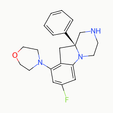 Fc1cc(N2CCOCC2)c2c(c1)N1CCNC[C@@]1(c1ccccc1)C2